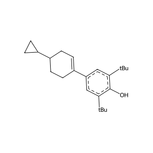 CC(C)(C)c1cc(C2=CCC(C3CC3)CC2)cc(C(C)(C)C)c1O